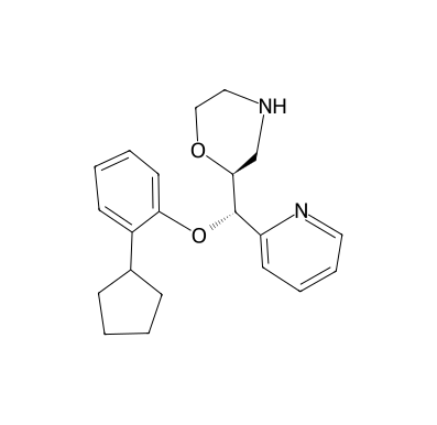 c1ccc([C@H](Oc2ccccc2C2CCCC2)[C@@H]2CNCCO2)nc1